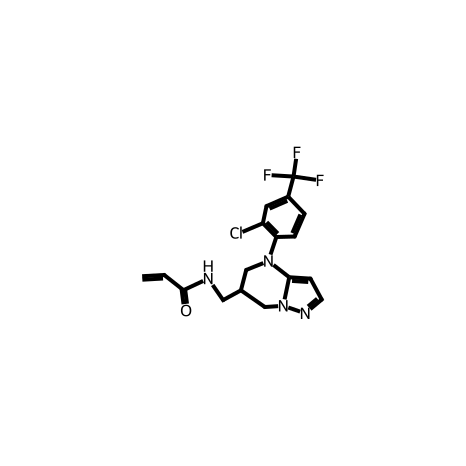 C=CC(=O)NCC1CN(c2ccc(C(F)(F)F)cc2Cl)c2ccnn2C1